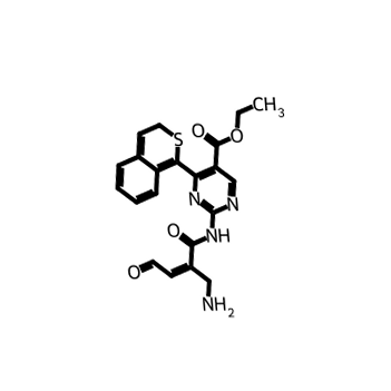 CCOC(=O)c1cnc(NC(=O)/C(=C\C=O)CN)nc1C1=c2ccccc2=CCS1